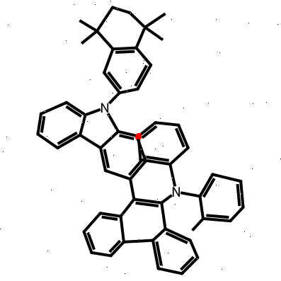 Cc1ccccc1N(c1ccccc1)c1c(-c2ccc3c(c2)c2ccccc2n3-c2ccc3c(c2)C(C)(C)CCC3(C)C)c2ccccc2c2ccccc12